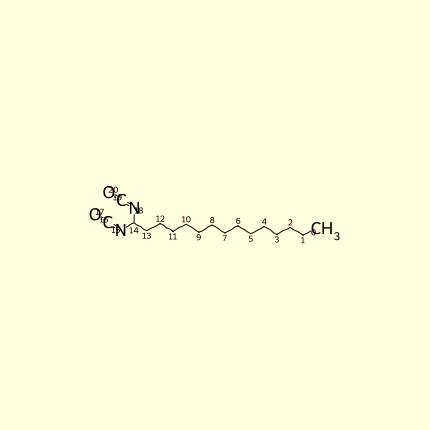 CCCCCCCCCCCCCCC(N=C=O)N=C=O